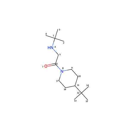 CC(C)(C)NCC(=O)N1CCC(C(C)(C)C)CC1